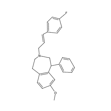 COc1ccc2c(c1)C(c1ccccc1)CN(CC=Cc1ccc(F)cc1)CC2